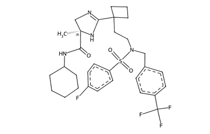 C[C@]1(C(=O)NC2CCCCC2)CN=C(C2(CCN(Cc3ccc(C(F)(F)F)cc3)S(=O)(=O)c3ccc(F)cc3)CCC2)N1